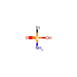 CCP(N)(=O)O